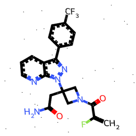 C=C(F)C(=O)N1CC(CC(N)=O)(n2nc(-c3ccc(C(F)(F)F)cc3)c3cccnc32)C1